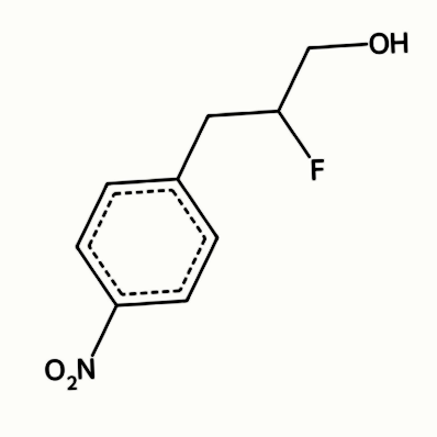 O=[N+]([O-])c1ccc(CC(F)CO)cc1